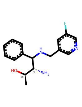 C[C@@H](O)[C@@H](N)C(NCc1cncc(F)c1)c1ccccc1